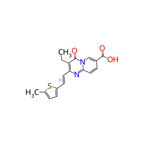 CCc1c(/C=C/c2ccc(C)s2)nc2ccc(C(=O)O)cn2c1=O